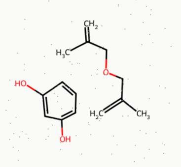 C=C(C)COCC(=C)C.Oc1cccc(O)c1